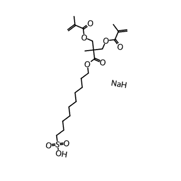 C=C(C)C(=O)OCC(C)(COC(=O)C(=C)C)C(=O)OCCCCCCCCCCS(=O)(=O)O.[NaH]